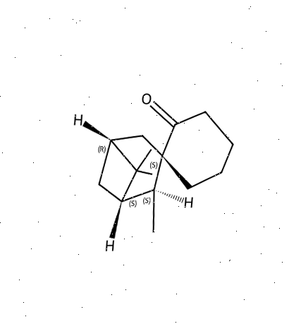 C[C@H]1[C@@H]2C[C@H](C[C@@]13CCCCC3=O)C2(C)C